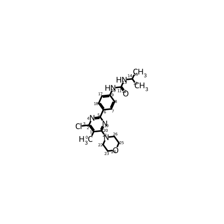 Cc1c(Cl)nc(-c2ccc(NC(=O)NC(C)C)cc2)nc1N1CCOCC1